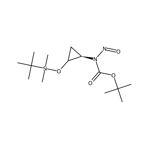 CC(C)(C)OC(=O)N(N=O)[C@@H]1CC1O[Si](C)(C)C(C)(C)C